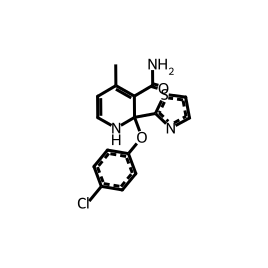 CC1=C(C(N)=O)C(Oc2ccc(Cl)cc2)(c2nccs2)NC=C1